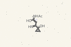 CC(=O)N/C(O)=C/C(=N)C1(O)CC1